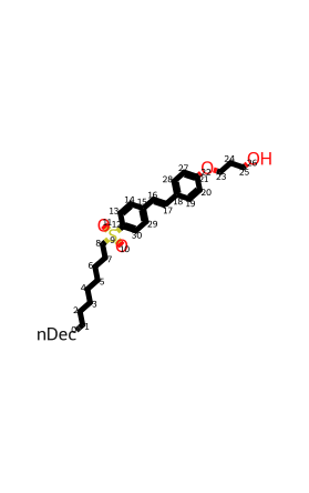 CCCCCCCCCCCCCCCCCCS(=O)(=O)c1ccc(/C=C/c2ccc(OCCCO)cc2)cc1